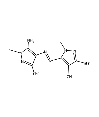 CCCc1nn(C)c(/N=N/c2c(CCC)nn(C)c2N)c1C#N